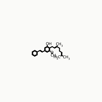 COc1cc(/C=C/c2ccccc2)cc(O)c1C/C=C(\C)CCC=C(C)C